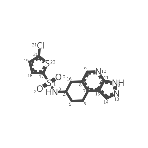 O=S(=O)(NC1CCc2c(cnc3[nH]ncc23)C1)c1ccc(Cl)s1